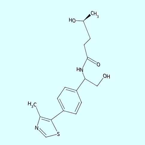 Cc1ncsc1-c1ccc(C(CO)NC(=O)CC[C@H](C)O)cc1